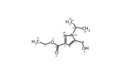 CCOC(=O)c1cc(CO)n(C(C)C)n1